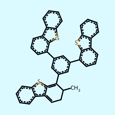 CC1CC=c2c(sc3ccccc23)=C1c1cc(-c2cccc3c2sc2ccccc23)cc(-c2cccc3c2sc2ccccc23)c1